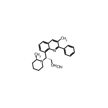 Cc1cc2cccc([C@H](CO)N3CCCC[C@H]3C)c2nc1-c1ccccc1.Cl